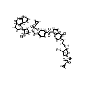 CC[C@@H]1C[C@H](NS(=O)(=O)C2CC2)C[C@@H]1NCCc1cnc2c(ccn2S(=O)(=O)c2ccc(CN([C@H]3C[C@@H](CC)[C@@H](N4CCc5cnc6[nH]ccc6c54)C3)S(=O)(=O)C3CC3)cc2)c1Cl